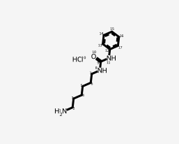 Cl.NCCCCCCNC(=O)Nc1ccccc1